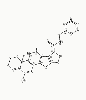 CC12CCCC=C1C(O)=CC1=C2NNC2=C1CC1=C2C(C(=O)NCc2cccnc2)CC1